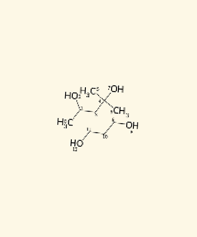 CC(O)CC(C)(C)O.OCCCO